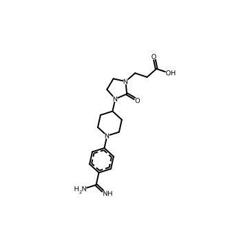 N=C(N)c1ccc(N2CCC(N3CCN(CCC(=O)O)C3=O)CC2)cc1